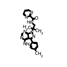 Cc1ccc(-c2nn(C(C)(C)CNC(=O)c3ncccn3)c3ncnc(N)c23)cc1